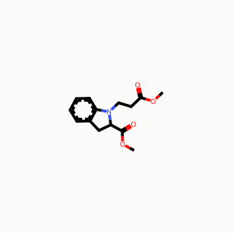 COC(=O)CCN1c2ccccc2CC1C(=O)OC